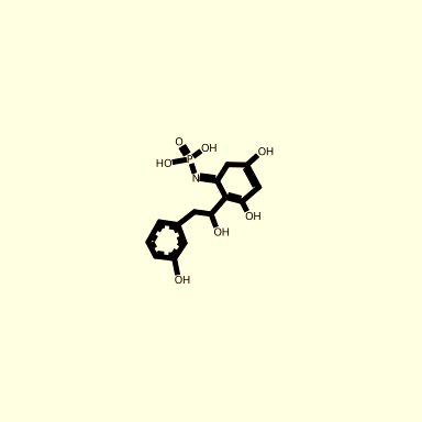 O=P(O)(O)N=C1CC(O)=CC(O)=C1C(O)Cc1cccc(O)c1